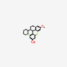 COc1ccc2c(c1)CCC(C1CCCCC1)C2c1c(F)cc(O)cc1F